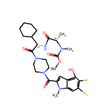 C[C@@H](C(=O)N[C@H](C(=O)N1CCN(C(=O)c2cc3c(O)c(F)c(F)cc3n2C)CC1)C1CCCCC1)N(C)C(=O)OC(C)(C)C